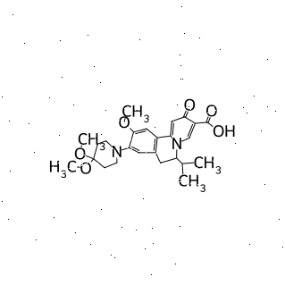 COc1cc2c(cc1N1CCC(OC)(OC)CC1)CC(C(C)C)n1cc(C(=O)O)c(=O)cc1-2